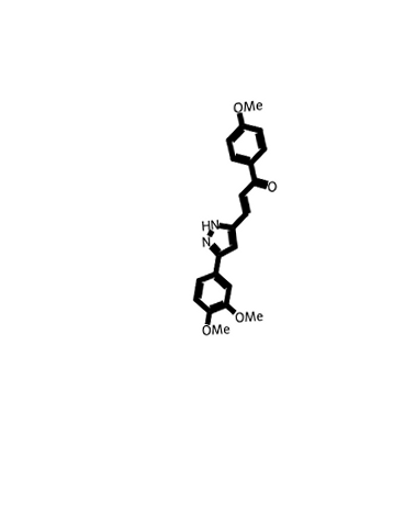 COc1ccc(C(=O)C=Cc2cc(-c3ccc(OC)c(OC)c3)n[nH]2)cc1